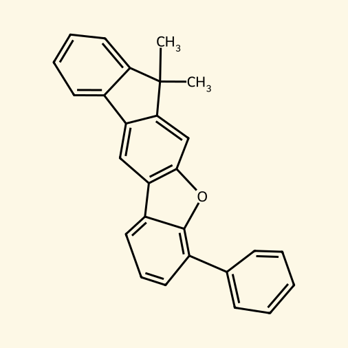 CC1(C)c2ccccc2-c2cc3c(cc21)oc1c(-c2ccccc2)cccc13